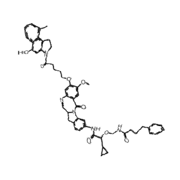 COc1cc2c(cc1OCCCCC(=O)N1CCc3c1cc(O)c1cccc(C)c31)N=CC1Cc3ccc(NC(=O)C(OCNC(=O)CCCc4ccccc4)C4CC4)cc3N1C2=O